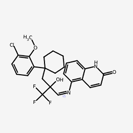 COc1c(Cl)cccc1C1(CC(O)(/C=N\c2cccc3[nH]c(=O)ccc23)C(F)(F)F)CCCCC1